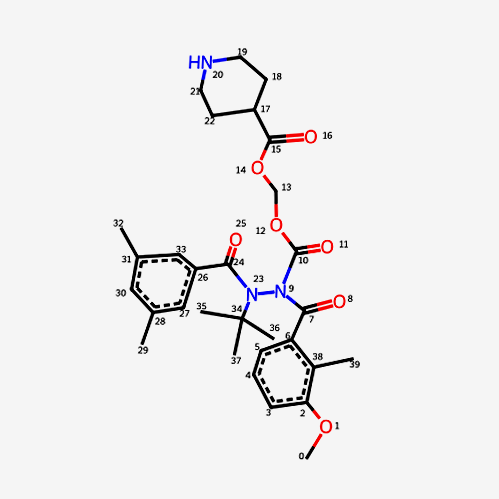 COc1cccc(C(=O)N(C(=O)OCOC(=O)C2CCNCC2)N(C(=O)c2cc(C)cc(C)c2)C(C)(C)C)c1C